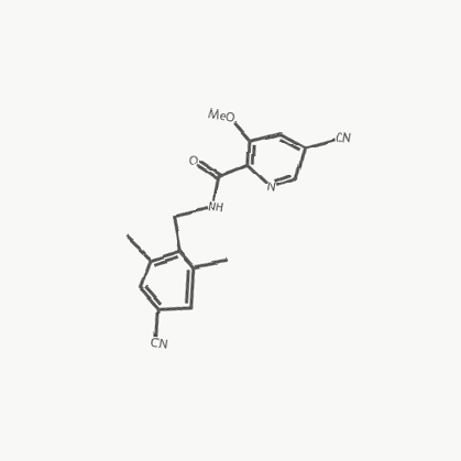 COc1cc(C#N)cnc1C(=O)NCc1c(C)cc(C#N)cc1C